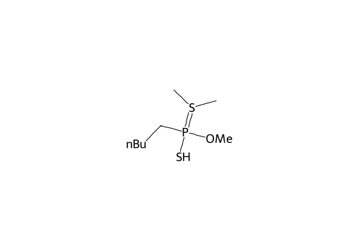 CCCCCP(S)(OC)=S(C)C